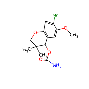 COc1cc2c(cc1Br)OCC(C)(C)C2OC(N)=O